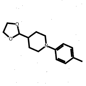 Cc1ccc(N2CCC(C3OCCO3)CC2)cc1